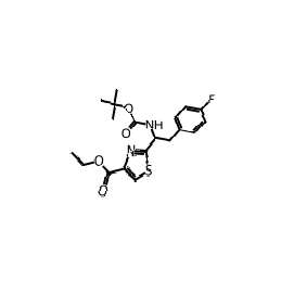 CCOC(=O)c1csc(C(Cc2ccc(F)cc2)NC(=O)OC(C)(C)C)n1